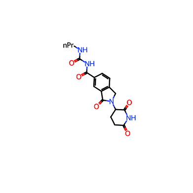 CCCNC(=O)NC(=O)c1ccc2c(c1)C(=O)N(C1CCC(=O)NC1=O)C2